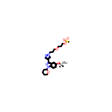 CC(C)(C)[Si](C)(C)Oc1ccc2c(c1)c(-c1cnn(CCCOCCCOS(C)(=O)=O)c1)nn2C1CCCCO1